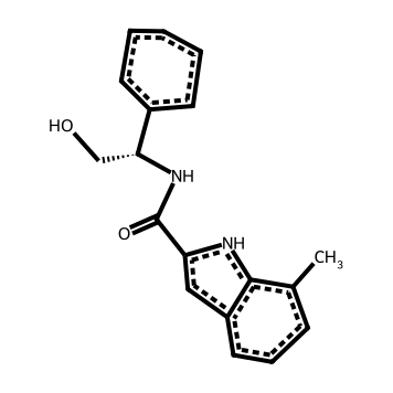 Cc1cccc2cc(C(=O)N[C@H](CO)c3ccccc3)[nH]c12